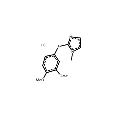 COc1ccc(Sc2nccn2C)cc1OC.Cl